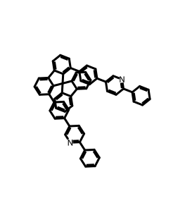 c1ccc(-c2ccc(-c3ccc(-c4cccc5c4C4(c6ccccc6-c6ccccc64)c4c(-c6ccc(-c7ccc(-c8ccccc8)nc7)cc6)cccc4-5)cc3)cn2)cc1